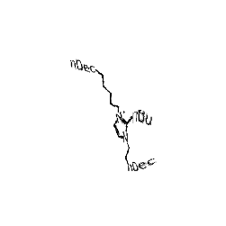 CCCCCCCCCCCCCCC[n+]1ccn(CCCCCCCCCCCC)c1CCCC